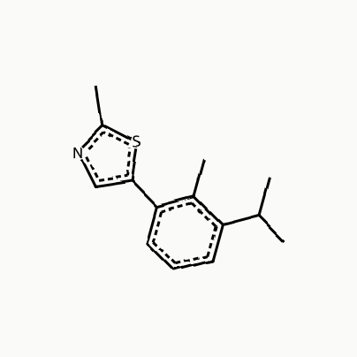 Cc1ncc(-c2cccc(C(C)C)c2C)s1